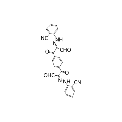 N#Cc1ccccc1NN=C(C=O)C(=O)c1ccc(C(=O)/C(C=O)=N/Nc2ccccc2C#N)cc1